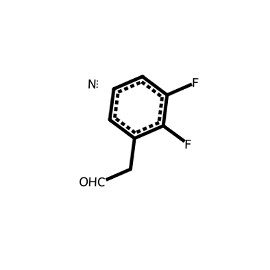 O=CCc1cccc(F)c1F.[N]